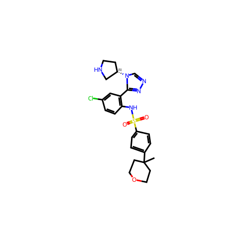 CC1(c2ccc(S(=O)(=O)Nc3ccc(Cl)cc3-c3nncn3[C@H]3CCNC3)cc2)CCOCC1